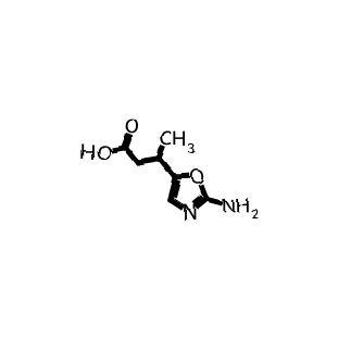 CC(CC(=O)O)c1cnc(N)o1